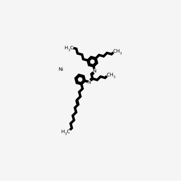 CCCCCCCC=CCCCc1ccccc1N=C(C=Nc1cc(CCCCC)cc(CCCCC)c1)CCCC.[Ni]